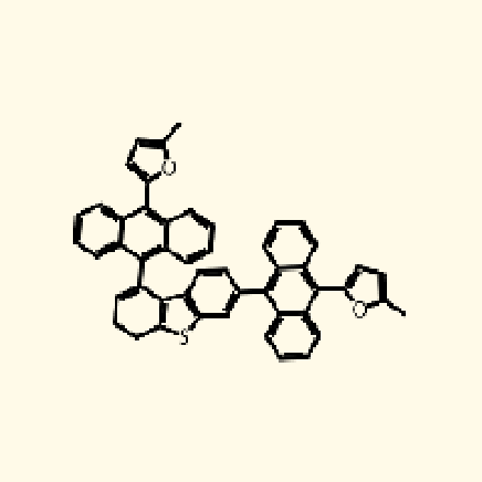 Cc1ccc(-c2c3ccccc3c(C3=CCCc4sc5cc(-c6c7ccccc7c(-c7ccc(C)o7)c7ccccc67)ccc5c43)c3ccccc23)o1